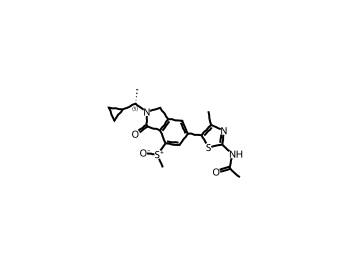 CC(=O)Nc1nc(C)c(-c2cc3c(c([S+](C)[O-])c2)C(=O)N([C@@H](C)C2CC2)C3)s1